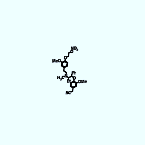 CCC(C(Oc1ccc(CC#N)cc1OC)C(C)C)N(C)CCc1ccc(OCCO[N+](=O)[O-])c(OC)c1